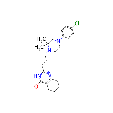 CC1(C)CN(c2ccc(Cl)cc2)CCN1CCCc1nc2c(c(=O)[nH]1)CCCC2